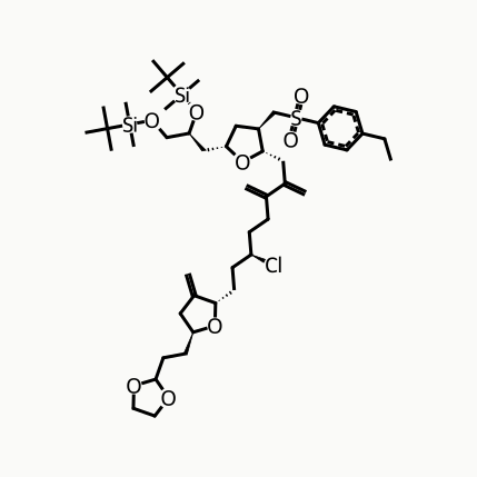 C=C(CC[C@@H](Cl)CC[C@@H]1O[C@@H](CCC2OCCO2)CC1=C)C(=C)C[C@@H]1O[C@H](C[C@@H](CO[Si](C)(C)C(C)(C)C)O[Si](C)(C)C(C)(C)C)C[C@H]1CS(=O)(=O)c1ccc(CC)cc1